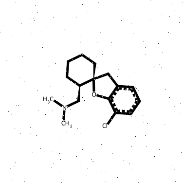 CN(C)C[C@H]1CCCC[C@]12Cc1cccc(Cl)c1O2